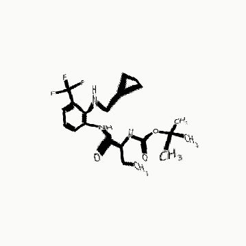 CCC(NC(=O)OC(C)(C)C)C(=O)Nc1cccc(C(F)(F)F)c1NCC1CC1